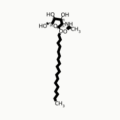 CCCCCCCCCCCCCCCCCCO[C@H]1O[C@H](CO)[C@@H](O)[C@H](O)[C@@H]1NC(C)=O